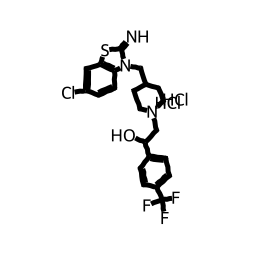 Cl.Cl.N=c1sc2cc(Cl)ccc2n1CC1CCN(CC(O)c2ccc(C(F)(F)F)cc2)CC1